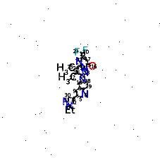 CCn1cc(-c2cnc3c(c2)CN(c2nn4c(=O)cc(C(F)F)nc4c(C)c2C)CC3)cn1